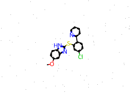 COc1ccc2[nH]c(Sc3cc(Cl)ccc3-c3ccccn3)nc2c1